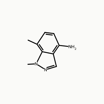 Cc1ccc(N)c2cnn(C)c12